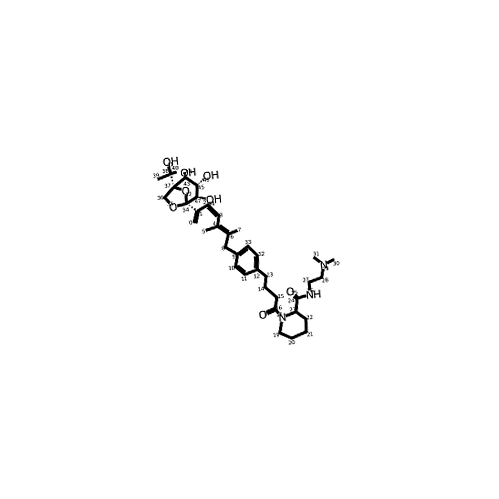 C=C(/C=C\C(C)=C(/C)Cc1ccc(CCCC(=O)N2CCCCC2C(=O)NCCN(C)C)cc1)[C@]12OC[C@](C(C)(C)O)(O1)[C@@H](O)[C@H](O)[C@H]2O